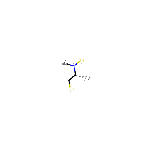 CCCCN(S)[C@@H](CS)C(=O)O